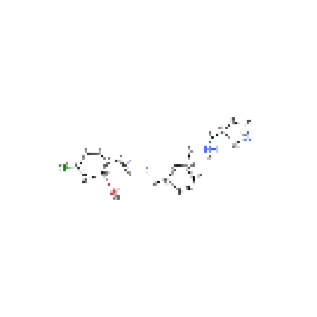 Clc1ccc(/C=C/CCc2cccc(CNCC3CCNC3)c2)c(Br)c1